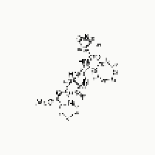 COC(=O)C1CCCCN1c1ccc2[nH]c(C(NC(=O)c3conc3C)C3CCCCCCC3)nc2c1F